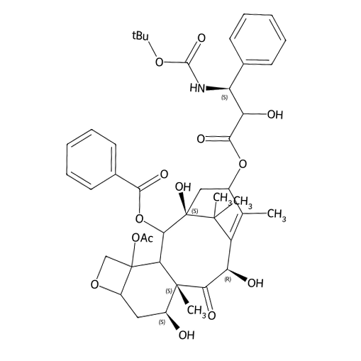 CC(=O)OC12COC1C[C@H](O)[C@@]1(C)C(=O)[C@H](O)C3=C(C)C(OC(=O)C(O)[C@@H](NC(=O)OC(C)(C)C)c4ccccc4)C[C@@](O)(C(OC(=O)c4ccccc4)C21)C3(C)C